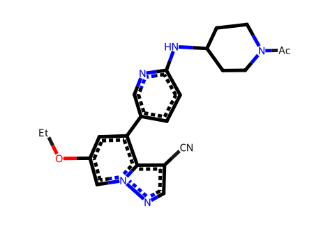 CCOc1cc(-c2ccc(NC3CCN(C(C)=O)CC3)nc2)c2c(C#N)cnn2c1